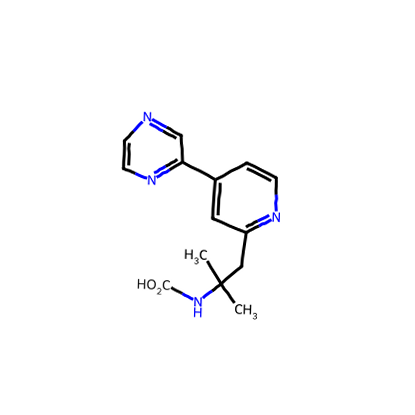 CC(C)(Cc1cc(-c2cnccn2)ccn1)NC(=O)O